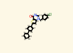 O=c1ncn(Cc2ccc(Cl)cc2)c2cc(-c3ccc(-c4ccccc4)cc3)sc12